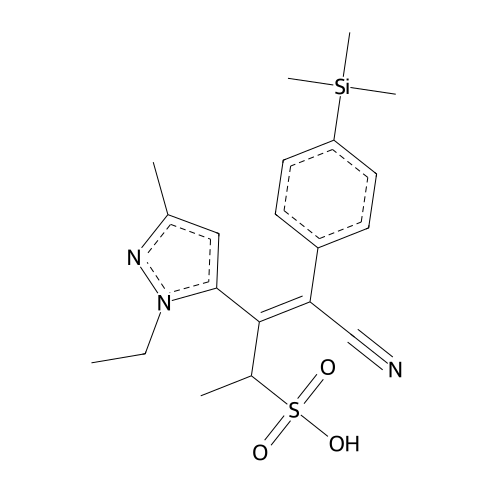 CCn1nc(C)cc1/C(=C(/C#N)c1ccc([Si](C)(C)C)cc1)C(C)S(=O)(=O)O